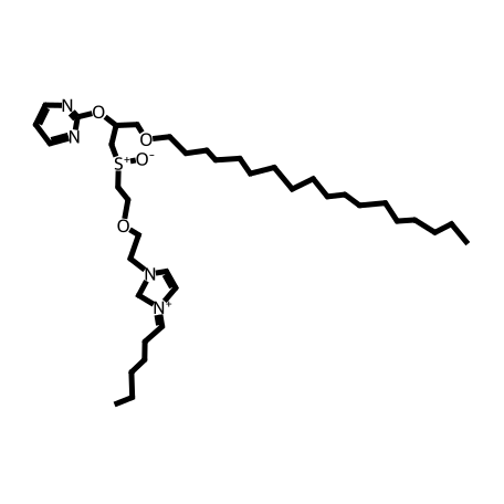 CCCCCC=[N+]1C=CN(CCOCC[S+]([O-])CC(COCCCCCCCCCCCCCCCCCC)Oc2ncccn2)C1